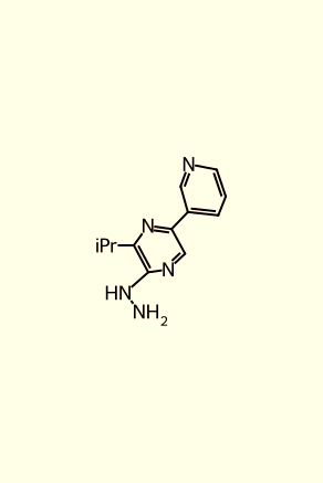 CC(C)c1nc(-c2cccnc2)cnc1NN